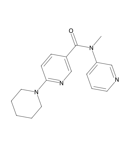 CN(C(=O)c1ccc(N2CCCCC2)nc1)c1cccnc1